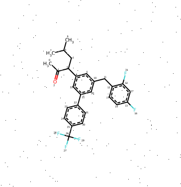 CC(=O)C(CC(C)C)c1cc(Cc2ccc(F)cc2F)cc(-c2ccc(C(F)(F)F)cc2)c1